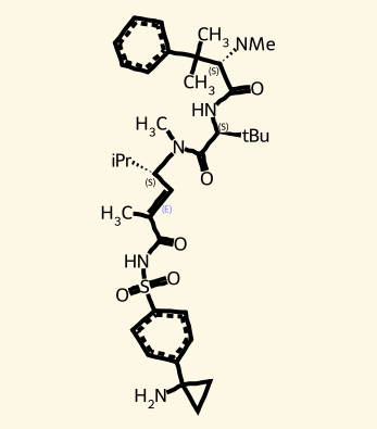 CN[C@H](C(=O)N[C@H](C(=O)N(C)[C@H](/C=C(\C)C(=O)NS(=O)(=O)c1ccc(C2(N)CC2)cc1)C(C)C)C(C)(C)C)C(C)(C)c1ccccc1